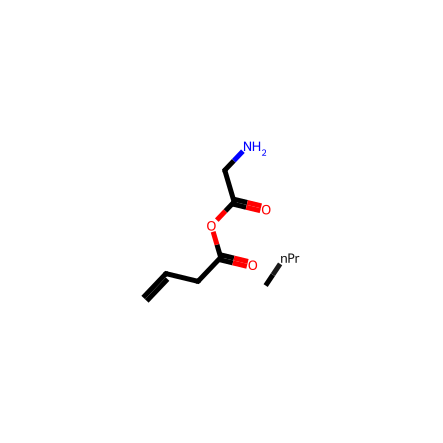 C=CCC(=O)OC(=O)CN.CCCC